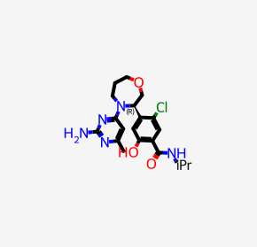 Cc1cc(N2CCCOC[C@H]2c2cc(O)c(C(=O)NC(C)C)cc2Cl)nc(N)n1